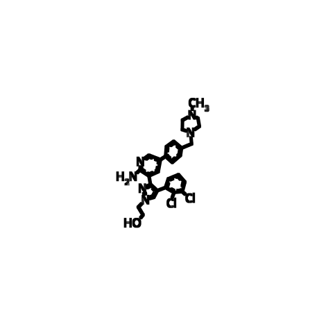 CN1CCN(Cc2ccc(-c3cnc(N)c(-c4nn(CCO)cc4-c4cccc(Cl)c4Cl)c3)cc2)CC1